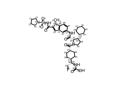 Cn1c(C(=O)NS(=O)(=O)N2CCCC2)cc2cc(NC(=O)[C@@H]3[C@H](C4CCCCC4)CCN3C(=O)[C@H]3CC[C@H]([C@@H](CF)NC(=O)O)CC3)ccc21